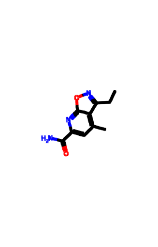 CCc1noc2nc(C(N)=O)cc(C)c12